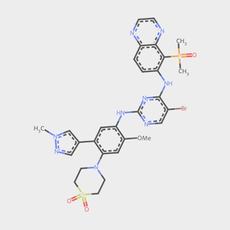 COc1cc(N2CCS(=O)(=O)CC2)c(-c2cnn(C)c2)cc1Nc1ncc(Br)c(Nc2ccc3nccnc3c2P(C)(C)=O)n1